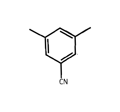 Cc1[c]c(C#N)cc(C)c1